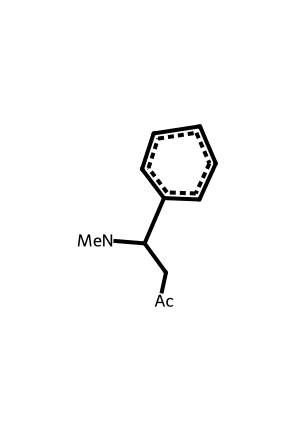 CNC(CC(C)=O)c1ccccc1